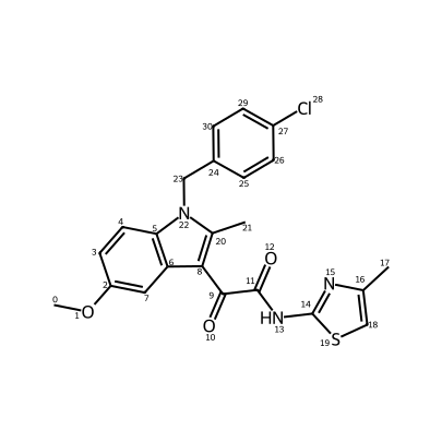 COc1ccc2c(c1)c(C(=O)C(=O)Nc1nc(C)cs1)c(C)n2Cc1ccc(Cl)cc1